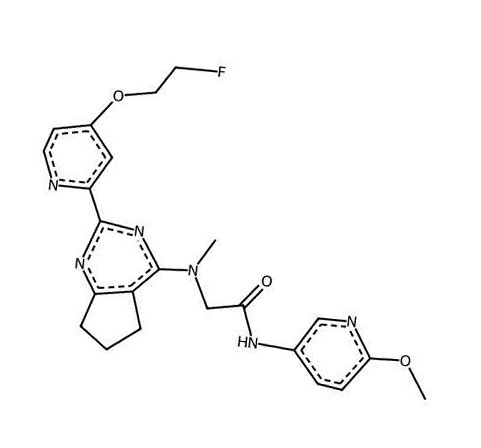 COc1ccc(NC(=O)CN(C)c2nc(-c3cc(OCCF)ccn3)nc3c2CCC3)cn1